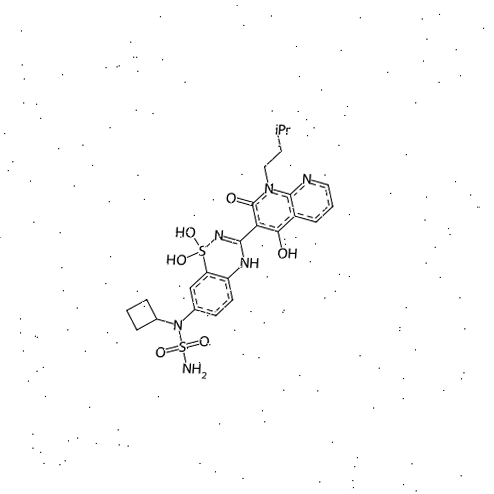 CC(C)CCn1c(=O)c(C2=NS(O)(O)c3cc(N(C4CCC4)S(N)(=O)=O)ccc3N2)c(O)c2cccnc21